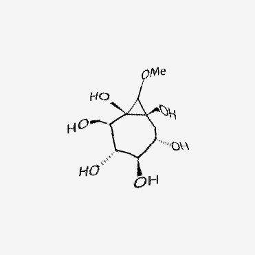 COC1[C@@]2(O)[C@H](O)[C@@H](O)[C@H](O)[C@@H](O)[C@@]12O